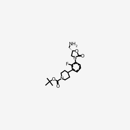 CC(C)(C)OC(=O)N1CCC(c2cccc(N3C[C@H](CN)OC3=O)c2F)CC1